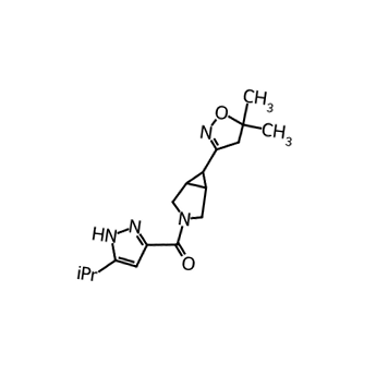 CC(C)c1cc(C(=O)N2CC3C(C2)C3C2=NOC(C)(C)C2)n[nH]1